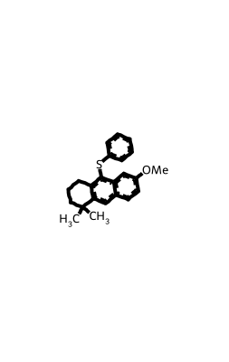 COc1ccc2cc3c(c(Sc4ccccc4)c2c1)CCCC3(C)C